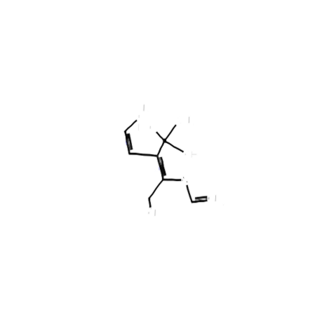 C=CN/C(CC)=C(/C=C\C)C(C)(C)C